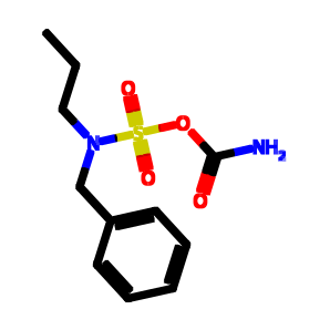 CCCN(Cc1ccccc1)S(=O)(=O)OC(N)=O